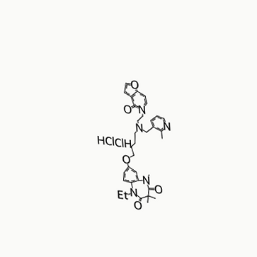 CCN1C(=O)C(C)(C)C(=O)N(C)c2cc(OCCCCN(CCn3ccc4occc4c3=O)Cc3cccnc3C)ccc21.Cl.Cl